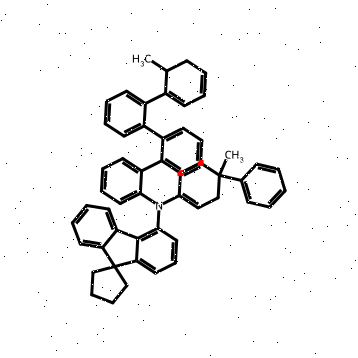 CC1CC=CC=C1c1ccccc1-c1ccccc1-c1ccccc1N(C1=CCC(C)(c2ccccc2)C=C1)c1cccc2c1-c1ccccc1C21CCCC1